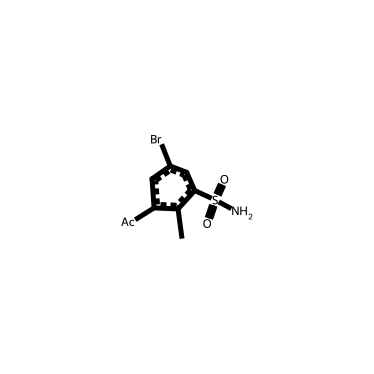 CC(=O)c1cc(Br)cc(S(N)(=O)=O)c1C